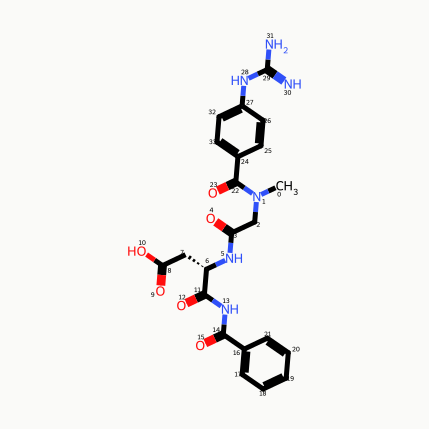 CN(CC(=O)N[C@@H](CC(=O)O)C(=O)NC(=O)c1ccccc1)C(=O)c1ccc(NC(=N)N)cc1